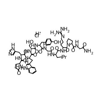 CC(C)CC(NC(=O)CNC(=O)C(Cc1ccc(O)cc1)NC(=O)C(CO)NC(=O)C(Cc1c[nH]c2ccccc12)NC(=O)C(Cc1cnc[nH]1)NC(=O)C1CCC(=O)N1)C(=O)NC(CCCN=C(N)N)C(=O)N1CCCC1C(=O)NCC(N)=O.[Cl-].[H+]